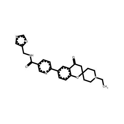 CCN1CCC2(CC1)CC(=O)c1cc(-c3ccc(C(=O)NCc4cncs4)cn3)ccc1O2